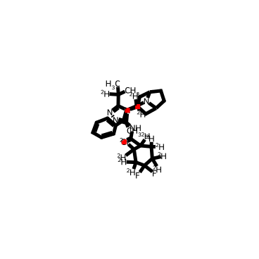 [2H]C(C)(C)c1nnc(C)n1C1CC2CCC(C1)N2C([2H])([2H])CC(NC(=O)C1([2H])C([2H])([2H])C([2H])([2H])C(F)(F)C([2H])([2H])C1([2H])[2H])c1ccccc1